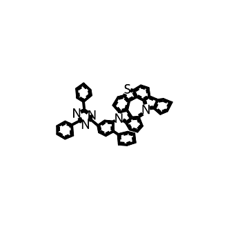 c1ccc(-c2nc(-c3ccccc3)nc(-c3ccc(-c4ccccc4)c(-n4c5ccc6sc7ccc8c9ccccc9n9c%10cccc4c%10c5c6c7c89)c3)n2)cc1